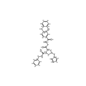 O=C(NCC(=O)N1CC(Cn2ccnn2)C[C@H]1C(=O)OCc1ccccc1)c1ccc2c(c1)Oc1ccccc1S2